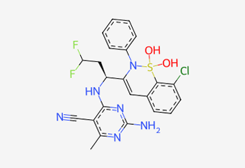 Cc1nc(N)nc(N[C@@H](CC(F)F)C2=Cc3cccc(Cl)c3S(O)(O)N2c2ccccc2)c1C#N